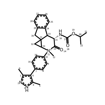 Cc1n[nH]c(C)c1-c1ccc([N+]2(C)C(=O)[C@@H](NC(=O)OC(C)C)C3c4ccccc4CC34CC42)cc1